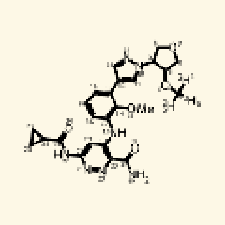 [2H]C([2H])([2H])OC1COCC1n1cc(-c2cccc(Nc3cc(NC(=O)C4CC4)nnc3C(N)=O)c2OC)cn1